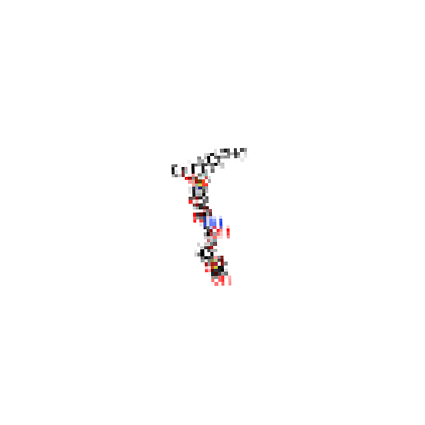 CCOc1ccc(-c2ccc(C=O)cc2)cc1S(=O)(=O)N1CCC2(CC1)C[C@@H](OC(=O)NCC(O)COc1cccc(S(=O)(=O)C3(CO)CC3)c1)CO2